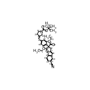 CCOC(=O)C(Cc1cc2cc(C#N)ccc2s1)(C(=O)OCC)c1ccc(S[C@H]2CCN(C(=O)OC(C)(C)C)C2)cc1